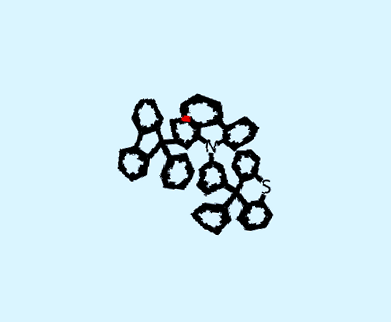 c1ccc(-c2ccccc2N(c2cccc(C3(c4ccccc4)c4ccccc4Sc4ccccc43)c2)c2cccc(C3(c4ccccc4)c4ccccc4-c4ccccc43)c2)cc1